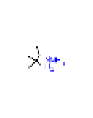 CCC(C)(C)C.N.N